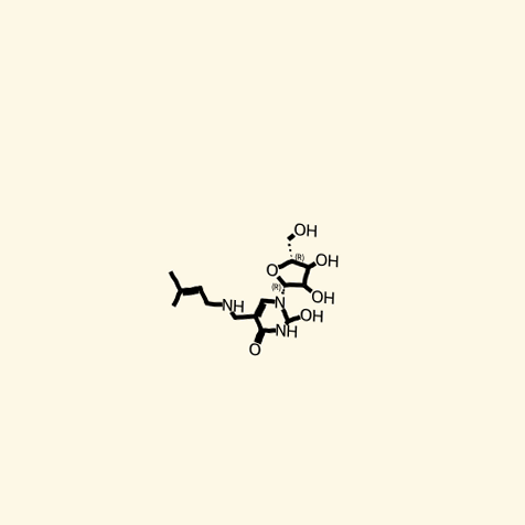 CC(C)=CCNCC1=CN([C@@H]2O[C@H](CO)C(O)C2O)C(O)NC1=O